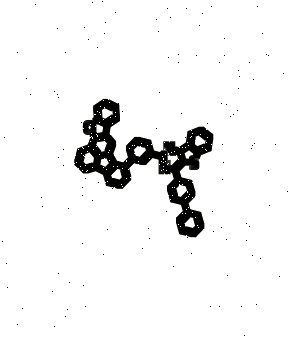 C1=CC(c2nc(C3C=CC(c4ccccc4)=CC3)c3sc4ccccc4c3n2)=CC(c2cccc3c2-c2cc4c5ccccc5oc4c4cccc-3c24)C1